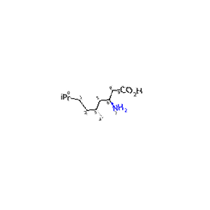 CC(C)CC[C@@H](C)C[C@H](N)CC(=O)O